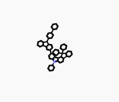 c1ccc(-c2ccc(C3c4ccccc4-c4cc(-c5ccc6c(c5)c5c7c(ccc5n6-c5ccccc5)-c5ccccc5C7(c5ccccc5)c5ccccc5)ccc43)cc2)cc1